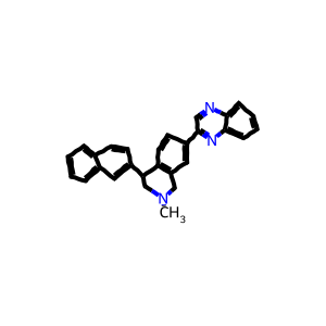 CN1Cc2cc(-c3cnc4ccccc4n3)ccc2C(c2ccc3ccccc3c2)C1